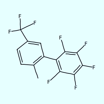 Cc1ccc(C(F)(F)F)cc1-c1c(F)c(F)c(F)c(F)c1F